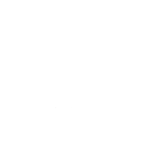 CC(C)C(O)CC1CCCC(C(=O)O)C1